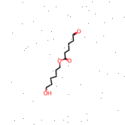 O=CCCCCC(=O)OCCCCCCO